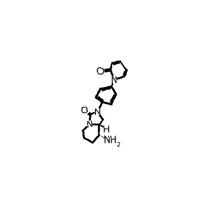 N[C@@H]1CCCN2C(=O)N(c3ccc(-n4ccccc4=O)cc3)C[C@H]12